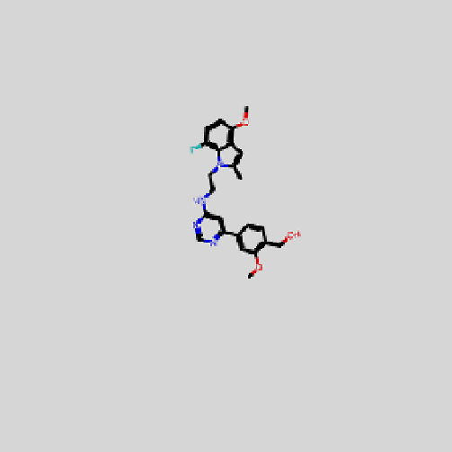 COc1cc(-c2cc(NCCn3c(C)cc4c(OC)ccc(F)c43)ncn2)ccc1CO